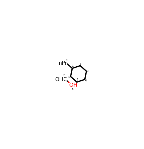 CCCC1CCCCC1.O=CO